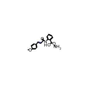 COc1ccc(/C=C/C(=O)Nc2ccccc2C(=O)ON)cc1